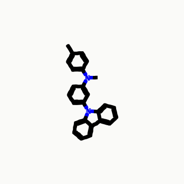 Cc1ccc(N(C)c2cccc(-n3c4ccccc4c4ccccc43)c2)cc1